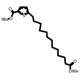 COC(=O)CCCCCCCCCCCCc1ccc(C(=O)OC(C)(C)C)s1